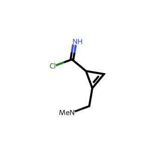 CNCC1=CC1C(=N)Cl